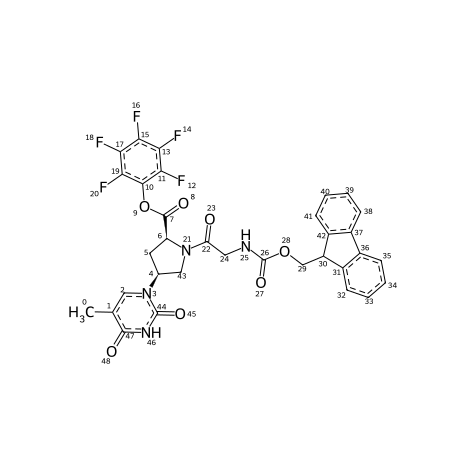 Cc1cn([C@H]2C[C@@H](C(=O)Oc3c(F)c(F)c(F)c(F)c3F)N(C(=O)CNC(=O)OCC3c4ccccc4-c4ccccc43)C2)c(=O)[nH]c1=O